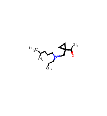 CCCN(CCCC(C)C)CC1(C(C)=O)CC1